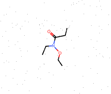 [CH2]CC(=O)N(CC)OCC